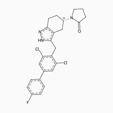 O=C1CCCN1[C@H]1CCc2n[nH]c(Cc3c(Cl)cc(-c4ccc(F)cc4)cc3Cl)c2C1